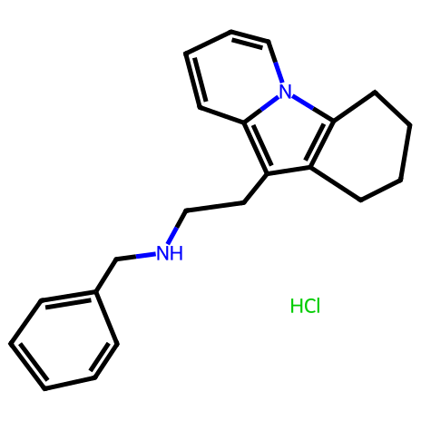 Cl.c1ccc(CNCCc2c3c(n4ccccc24)CCCC3)cc1